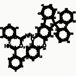 N=C(OC(=N)c1ccccc1-c1ccc2c(c1)Oc1cc3c(cc1O2)C(c1ccccc1)(c1ccccc1)c1ccccc1-3)c1ccccc1